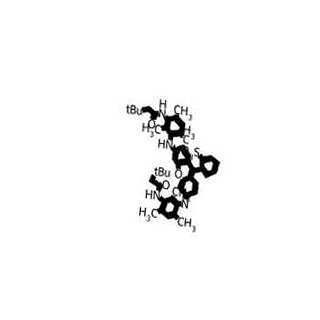 Cc1cc(C)c(NC(=O)CC(C)(C)C)c(C)c1/N=c1/ccc2c(-c3ccccc3S(=O)(=O)O)c3ccc(Nc4c(C)cc(C)c(NC(=O)CC(C)(C)C)c4C)cc3oc-2c1